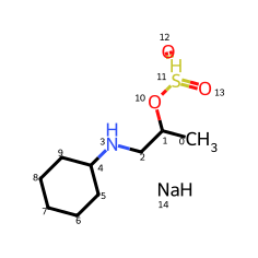 CC(CNC1CCCCC1)O[SH](=O)=O.[NaH]